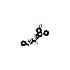 O=C(NCc1cn(-c2ccccc2)c2cc(Cl)ccc2c1=O)c1cn(Cc2ccccc2)nn1